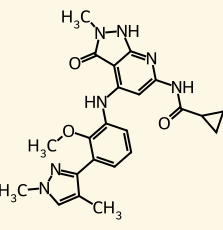 COc1c(Nc2cc(NC(=O)C3CC3)nc3[nH]n(C)c(=O)c23)cccc1-c1nn(C)cc1C